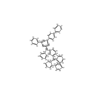 c1ccc(-c2ccc(-c3nc(-c4ccccc4)nc(-n4c5ccccc5c5c4ccc4c6ccccc6n(-c6ccccc6-c6ccccc6)c45)n3)cc2)cc1